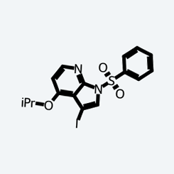 CC(C)Oc1ccnc2c1c(I)cn2S(=O)(=O)c1ccccc1